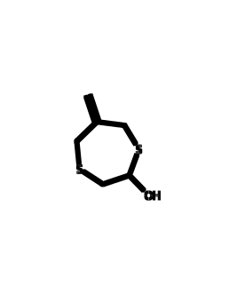 C=C1CSCC(O)SC1